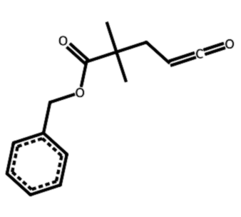 CC(C)(CC=C=O)C(=O)OCc1ccccc1